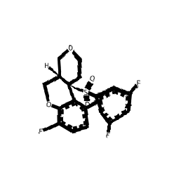 O=S(=O)(c1cc(F)cc(F)c1)[C@]12CCOC[C@H]1COc1c(F)ccc(F)c12